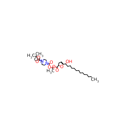 CCCCCCCCCCCCCC(O)C1=CCC(C(=O)OC(C)OC(=O)N2CCN(C(=O)OC(C)(C)C)CC2)O1